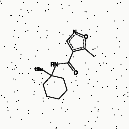 Cc1oncc1C(=O)NC1(C(C)(C)C)CCCCC1